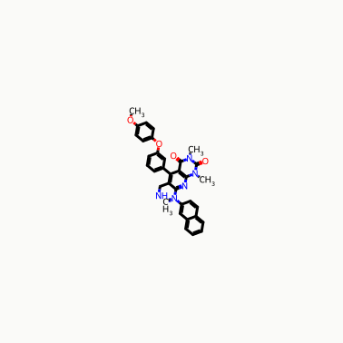 COc1ccc(Oc2cccc(-c3c(CN)c(N(C)c4ccc5ccccc5c4)nc4c3c(=O)n(C)c(=O)n4C)c2)cc1